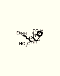 CCNCCCC[C@H](N[C@H]1CSc2ccccc2N(CC(=O)O)C1=O)C(=O)O